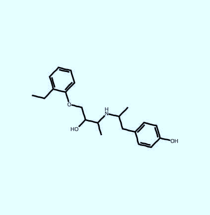 CCc1ccccc1OCC(O)C(C)NC(C)Cc1ccc(O)cc1